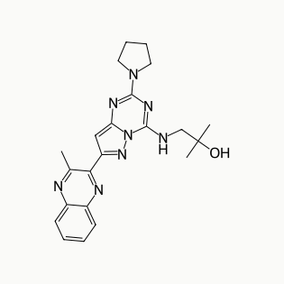 Cc1nc2ccccc2nc1-c1cc2nc(N3CCCC3)nc(NCC(C)(C)O)n2n1